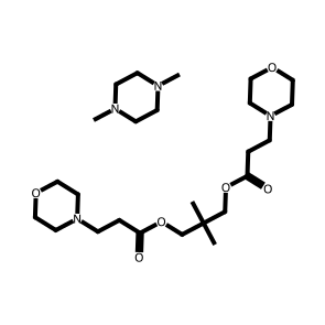 CC(C)(COC(=O)CCN1CCOCC1)COC(=O)CCN1CCOCC1.CN1CCN(C)CC1